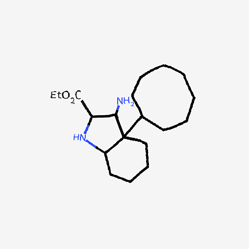 CCOC(=O)C1NC2CCCCC2(C2CCCCCCC2)C1N